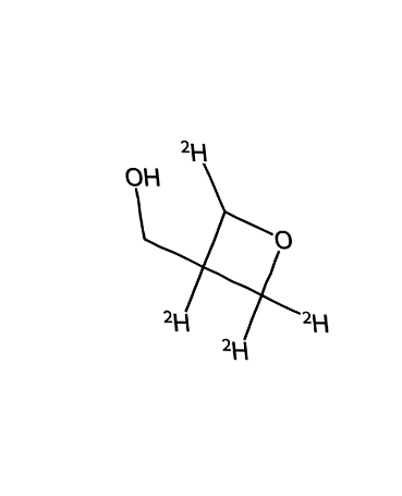 [2H]C1OC([2H])([2H])C1([2H])CO